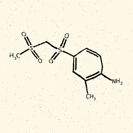 Cc1cc(S(=O)(=O)CS(C)(=O)=O)ccc1N